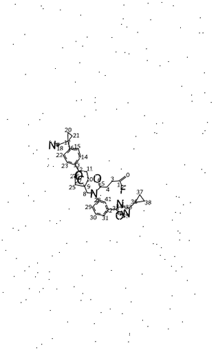 C=C(F)CCC(=O)N(CC12CCC(c3ccc(C4(C#N)CC4)cc3)(CC1)OC2)c1cccc(-c2nc(C3CC3)no2)c1